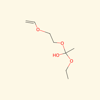 C=COCCOC(C)(O)OCC